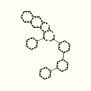 c1ccc(-c2cccc(-c3cccc(-c4nc(-c5ccccc5)c5c(n4)sc4cc6ccccc6cc45)c3)c2)cc1